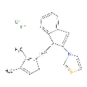 CC1=CC[C]([Hf+2][CH]2C(n3ccpc3)=Cc3ccccc32)=C1C.[Cl-].[Cl-]